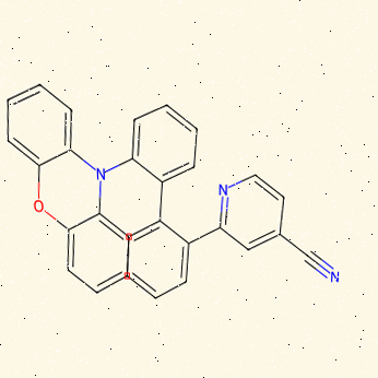 N#Cc1ccnc(-c2ccccc2-c2ccccc2N2c3ccccc3Oc3ccccc32)c1